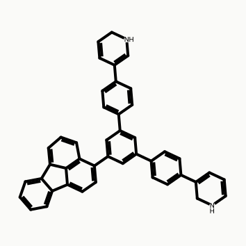 C1=CNCC(c2ccc(-c3cc(-c4ccc(C5=CNCC=C5)cc4)cc(-c4ccc5c6c(cccc46)-c4ccccc4-5)c3)cc2)=C1